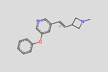 CN1CC(/C=C/c2cncc(Oc3ccccc3)c2)C1